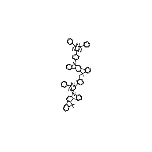 CC1(C)C2=C(C=CC3C2c2ccccc2N3c2cc(-c3cccc(CC4(C)C5=CC6c7ccccc7N(c7ccc(-c8nc(-c9ccccc9)nc(-c9ccccc9)n8)cc7)C6C=C5c5ccccc54)c3)nc(-c3ccccc3)n2)c2ccccc21